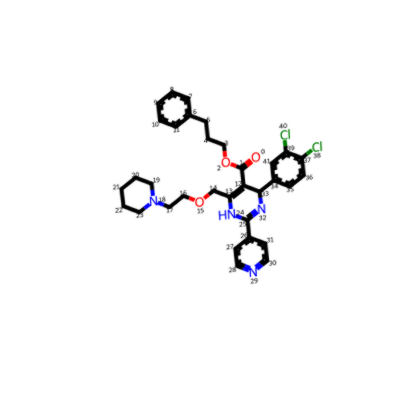 O=C(OCCCc1ccccc1)C1=C(COCCN2CCCCC2)NC(c2ccncc2)=NC1c1ccc(Cl)c(Cl)c1